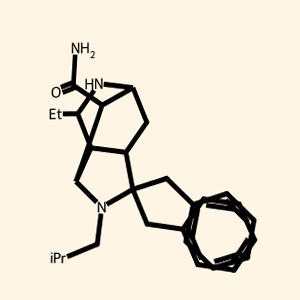 CCC1NC2CC3C1C(C2C(N)=O)N(CC(C)C)C3(Cc1ccccc1)Cc1ccccc1